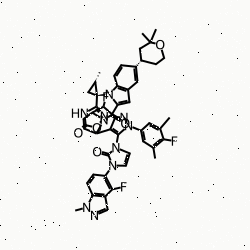 Cc1cc(-n2nc3c(c2-n2ccn(-c4ccc5c(cnn5C)c4F)c2=O)C2CCC(C3F)N2C(=O)c2cc3cc([C@H]4CCOC(C)(C)C4)ccc3n2[C@@]2(c3noc(=O)[nH]3)C[C@@H]2C)cc(C)c1F